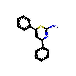 NC1=NC(c2ccccc2)C=C(c2ccccc2)S1